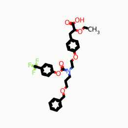 CCOC(Cc1ccc(OCCN(CCCOCc2ccccc2)C(=O)Oc2ccc(C(F)(F)F)cc2)cc1)C(=O)O